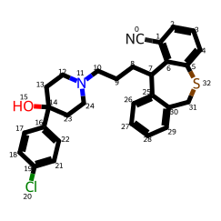 N#Cc1cccc2c1C(CCCN1CCC(O)(c3ccc(Cl)cc3)CC1)c1ccccc1CS2